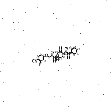 O=C(COc1ccc(Cl)c(F)c1)N[Si@H]1CC[C@H](C(=O)Nc2ccccc2)NC1